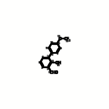 O=Cc1cccc(-c2ccc(OC(F)(F)F)cc2)c1O